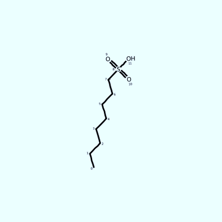 CCCCCCC[CH]S(=O)(=O)O